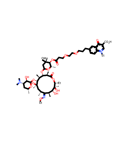 CCO/N=C1\[C@H](C)C[C@@](C)(O)[C@H](OC2O[C@H](C)C[C@H](N(C)C)[C@H]2O)[C@@H](C)[C@H](OC2C[C@@](C)(OC)[C@@H](OC(=O)CCOCCOCCCc3ccc4c(c3)c(=O)c(C(=O)O)cn4CC)[C@H](C)O2)[C@@H](C)C(=O)O[C@H](CC)[C@@](C)(O)[C@H](O)[C@H]1C